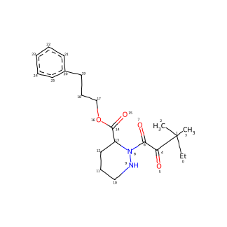 CCC(C)(C)C(=O)C(=O)N1NCCCC1C(=O)OCCCc1ccccc1